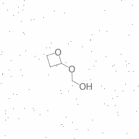 OCOC1CCO1